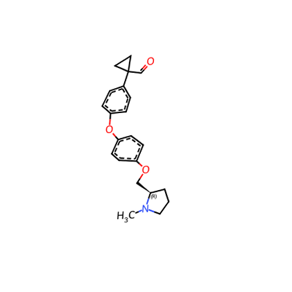 CN1CCC[C@@H]1COc1ccc(Oc2ccc(C3(C=O)CC3)cc2)cc1